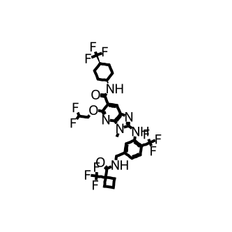 Cn1c(Nc2cc(CNC(=O)C3(C(F)(F)F)CCC3)ccc2C(F)(F)F)nc2cc(C(=O)N[C@H]3CC[C@H](C(F)(F)F)CC3)c(OCC(F)F)nc21